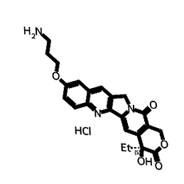 CC[C@@]1(O)C(=O)OCc2c1cc1n(c2=O)Cc2cc3cc(OCCCN)ccc3nc2-1.Cl